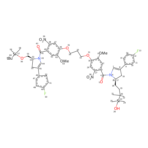 COc1cc(C(=O)N2C=C(c3ccc(F)cc3)C[C@H]2CCC(C)(C)[Si](C)(C)O)c([N+](=O)[O-])cc1OCCCOc1cc([N+](=O)[O-])c(C(=O)N2C=C(c3ccc(F)cc3)C[C@H]2CO[Si](C)(C)C(C)(C)C)cc1OC